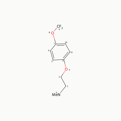 CNCCOc1ccc(OC(F)(F)F)cc1